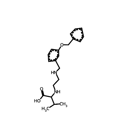 CC(C)C(NCCNCc1cccc(OCc2ccccc2)c1)C(=O)O